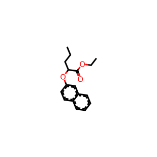 CCCC(Oc1ccc2ccccc2c1)C(=O)OCC